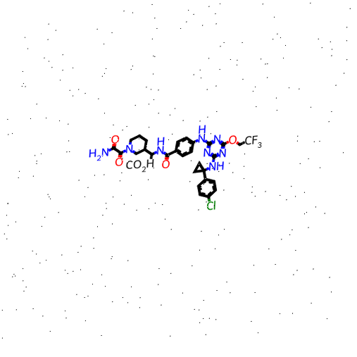 NC(=O)C(=O)N1CCCC(C(NC(=O)c2ccc(Nc3nc(NC4(c5ccc(Cl)cc5)CC4)nc(OCC(F)(F)F)n3)cc2)C(=O)O)C1